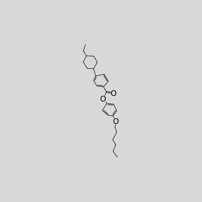 CCCCCCOc1ccc(OC(=O)c2ccc(C3CCC(CC)CC3)cc2)cc1